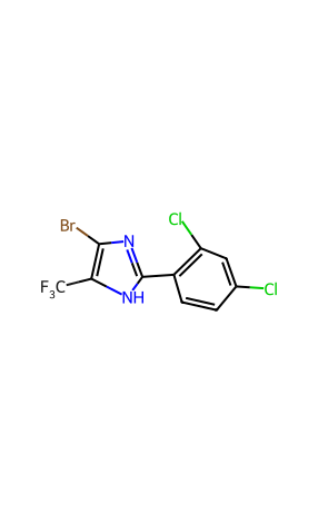 FC(F)(F)c1[nH]c(-c2ccc(Cl)cc2Cl)nc1Br